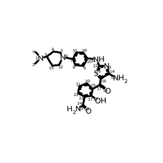 CN(C)C1CCN(c2ccc(Nc3nc(N)c(C(=O)c4cccc(C(N)=O)c4O)s3)cc2)CC1